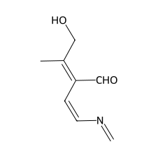 C=N/C=C\C(C=O)=C(/C)CO